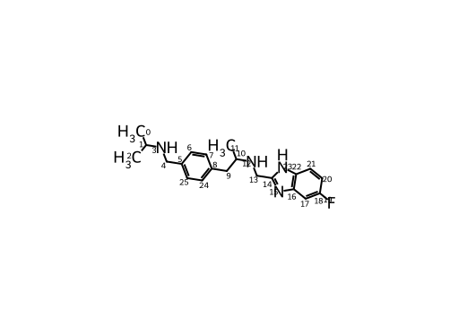 CC(C)NCc1ccc(CC(C)NCc2nc3cc(F)ccc3[nH]2)cc1